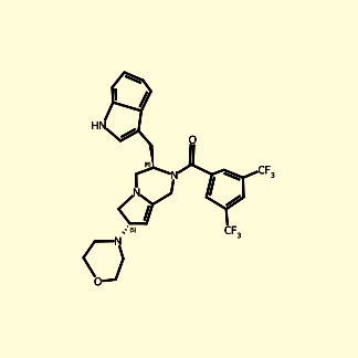 O=C(c1cc(C(F)(F)F)cc(C(F)(F)F)c1)N1CC2=C[C@H](N3CCOCC3)CN2C[C@H]1Cc1c[nH]c2ccccc12